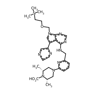 C[C@@H]1CN(c2cccc(CNc3ncnc4c3c(-c3cnccn3)cn4COCC[Si](C)(C)C)n2)C[C@H](C)N1C(=O)O